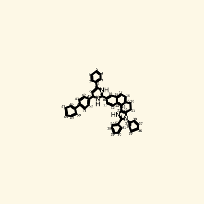 C1=C(c2ccccc2)NC(c2ccc3c4c(ccc3c2)CCC2=C4NC(c3ccccc3)N2c2ccccc2)NC1c1ccc(-c2ccccc2)cc1